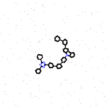 C1=CCC(c2nc(-c3ccccc3)nc(-c3ccc(-c4cccc(-c5ccc(-n6c7ccccc7c7cc(-c8cccc(-c9ccccc9)c8)ccc76)cc5)c4)cc3)n2)C=C1